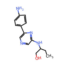 CCC(CO)Nc1cncc(-c2ccc(N)cc2)n1